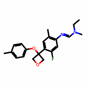 CCN(C)C=Nc1cc(F)c(C2(Oc3ccc(C)cc3)COC2)cc1C